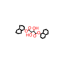 O=C(Oc1cccc2ccccc12)C(O)C(O)C(=O)Oc1cccc2ccccc12